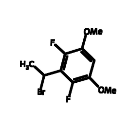 COc1cc(OC)c(F)c(C(C)Br)c1F